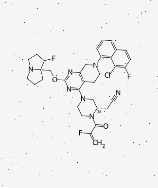 C=C(F)C(=O)N1CCN(c2nc(OCC34CCCN3CCC4F)nc3c2CCN(c2cccc4ccc(F)c(Cl)c24)C3)C[C@@H]1CC#N